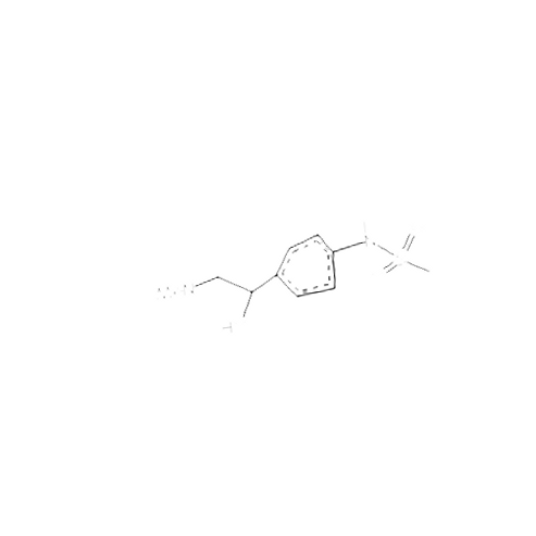 CNCC(O)c1ccc(NS(C)(=O)=O)cc1